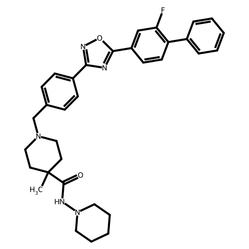 CC1(C(=O)NN2CCCCC2)CCN(Cc2ccc(-c3noc(-c4ccc(-c5ccccc5)c(F)c4)n3)cc2)CC1